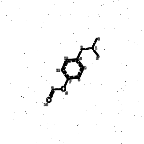 CC(C)Cc1ccc(OC=O)cc1